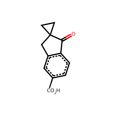 O=C(O)c1ccc2c(c1)CC1(CC1)C2=O